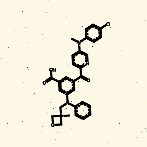 CN(c1ccc(Cl)cc1)c1ccc(C(=O)c2cc(C(=O)O)cc(N(CC3(C)COC3)c3ccccc3)c2)nc1